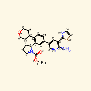 CC(C)(C)OC(=O)N1CCC[C@H]1c1cc(-c2cnc(N)c(-c3nccs3)c2)ccc1C1CCOCC1